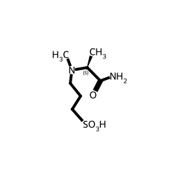 C[C@@H](C(N)=O)N(C)CCCS(=O)(=O)O